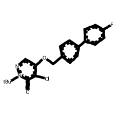 CC(C)(C)n1ncc(OCc2ccc(-c3ccc(F)cc3)cc2)c(Cl)c1=O